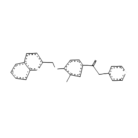 O=C(Cc1ccncc1)c1ccc(OCc2ccc3ccccc3n2)c(Cl)c1